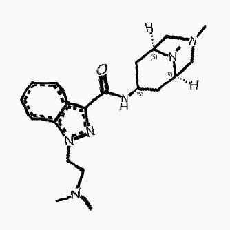 CN(C)CCn1nc(C(=O)N[C@@H]2C[C@@H]3CN(C)C[C@H](C2)N3C)c2ccccc21